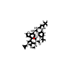 CC(C)(C)OC(=O)N(C(=O)O)c1ncnc2c1c(-c1ccc(NC(=O)Nc3cc(C(C)(C)C)nn3-c3ccccc3)c3occc13)cn2C1CC1